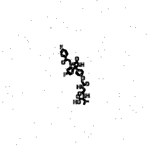 CC(C)[C@@H](NC(=O)CNC(=O)COc1ccc([C@]2(c3ccc(F)cc3)NC(=O)[C@@H]2SCC(=O)c2ccc(F)cc2)cc1)C(=O)O